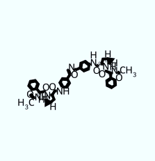 CC(=O)N[C@@H](C(=O)N1C(C(=O)Nc2ccc(-c3cnc(-c4ccc(NC(=O)[C@@H]5C[C@@H]6C[C@@H]6N5C(=O)[C@H](NC(C)=O)c5ccccc5)cc4)o3)cc2)C[C@@H]2C[C@@H]21)c1ccccc1